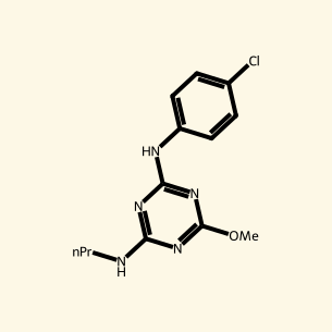 CCCNc1nc(Nc2ccc(Cl)cc2)nc(OC)n1